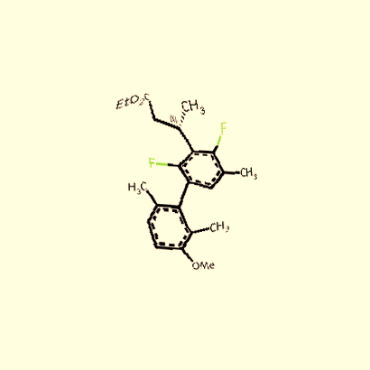 CCOC(=O)C[C@H](C)c1c(F)c(C)cc(-c2c(C)ccc(OC)c2C)c1F